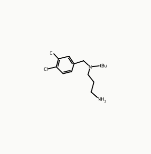 CC(C)(C)N(CCCN)Cc1ccc(Cl)c(Cl)c1